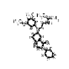 COc1cc(C)cc(N(CCNC(C)C)c2ccc3ncn(-c4cccnc4)c(=O)c3c2)c1